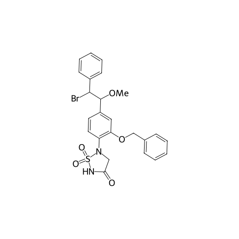 COC(c1ccc(N2CC(=O)NS2(=O)=O)c(OCc2ccccc2)c1)C(Br)c1ccccc1